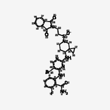 NC(=O)c1c(F)cccc1Nc1nc(NC2CCN([S+]([O-])CCN3C(=O)c4ccccc4C3=O)CC23CC3)ncc1Br